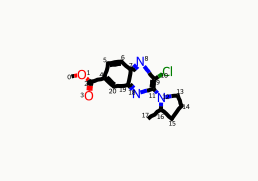 COC(=O)c1ccc2nc(Cl)c(N3CCCC3C)nc2c1